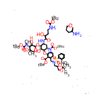 CN(C(=O)OC(C)(C)C)[C@@H]1[C@@H](O)[C@@H](O[C@@H]2[C@@H](O)[C@H](Oc3cccc(CN(CC4COC(C)(C)O4)S(=O)(=O)c4ccccc4[N+](=O)[O-])c3C(=O)OC(C)(C)C)[C@@H](NC(=O)OC(C)(C)C)C[C@H]2NC(=O)C(O)CCNC(=O)OC(C)(C)C)OC[C@]1(C)O.NC1CCCOC1